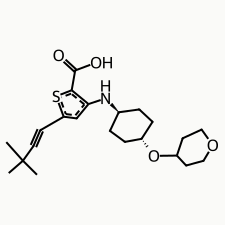 CC(C)(C)C#Cc1cc(N[C@H]2CC[C@H](OC3CCOCC3)CC2)c(C(=O)O)s1